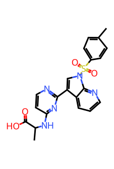 Cc1ccc(S(=O)(=O)n2cc(-c3nccc(NC(C)C(=O)O)n3)c3cccnc32)cc1